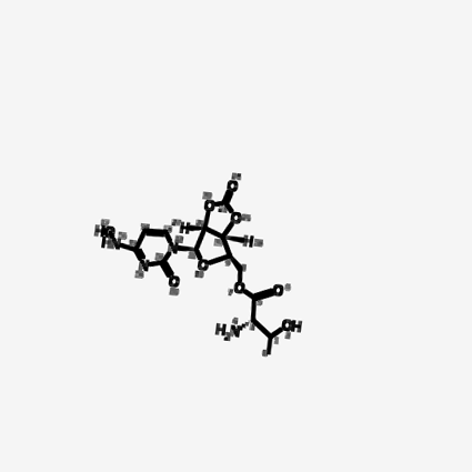 CC(O)[C@H](N)C(=O)OC[C@H]1O[C@@H](n2ccc(NO)nc2=O)[C@@H]2OC(=O)O[C@@H]21